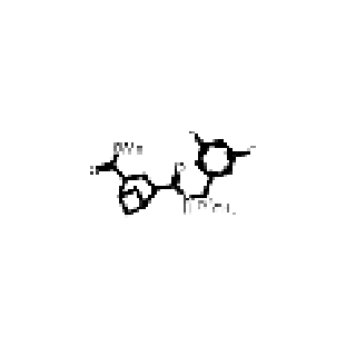 COC(=O)C1CC(C(=O)N[C@@H](C)c2cc(F)cc(F)c2)C2CC1C2